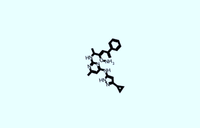 C=C(/C=C(\ON)C(C)Nc1nc(C)cc(Nc2cc(C3CC3)n[nH]2)n1)c1ccccc1